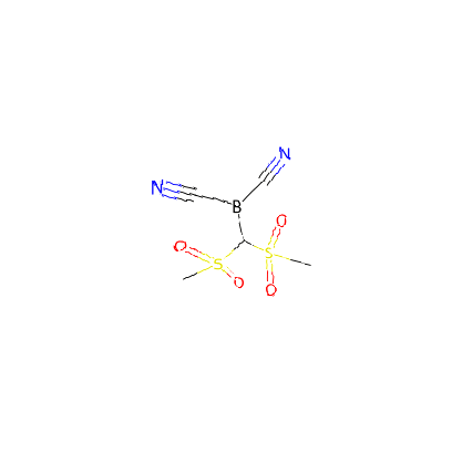 CS(=O)(=O)C(B(C#N)C#N)S(C)(=O)=O